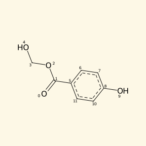 O=C(OCO)c1ccc(O)cc1